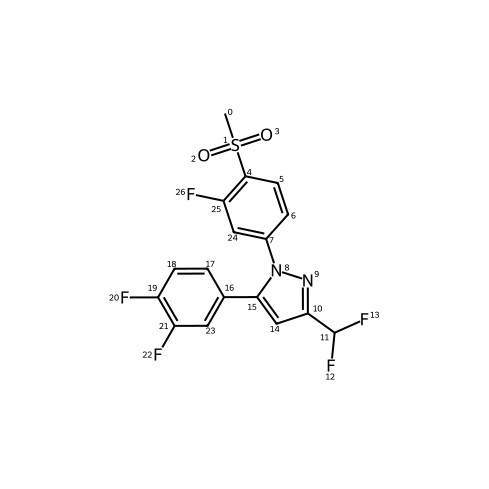 CS(=O)(=O)c1ccc(-n2nc(C(F)F)cc2-c2ccc(F)c(F)c2)cc1F